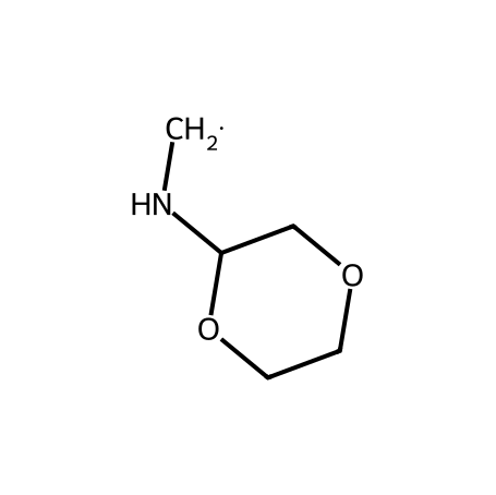 [CH2]NC1COCCO1